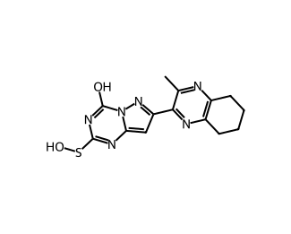 Cc1nc2c(nc1-c1cc3nc(SO)nc(O)n3n1)CCCC2